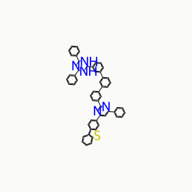 c1ccc(C2=NC(c3ccccc3)NC(c3cccc(-c4cccc(-c5cccc(-c6nc(-c7ccccc7)cc(-c7ccc8c(c7)sc7ccccc78)n6)c5)c4)c3)N2)cc1